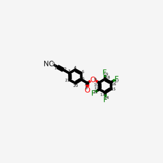 N#CC#Cc1ccc(C(=O)Oc2c(F)c(F)cc(F)c2F)cc1